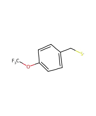 FC(F)(F)Oc1ccc(C[S])cc1